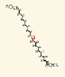 CCCCCCCCC=CCCCCCCCCOCCCCCCCCC=CCCCCCCCC